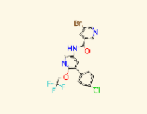 O=C(Nc1cnc(OCC(F)(F)F)c(-c2ccc(Cl)cc2)c1)c1cncc(Br)c1